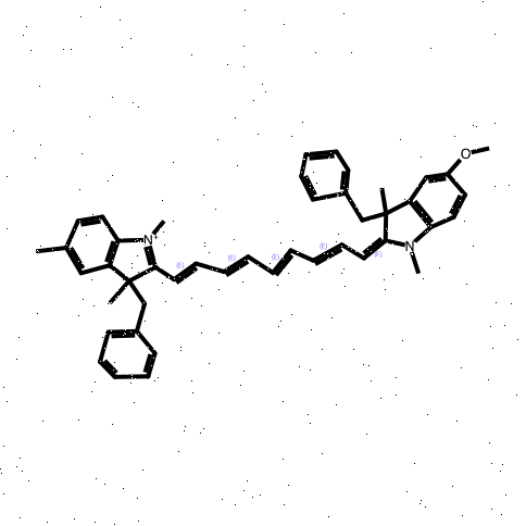 COc1ccc2c(c1)C(C)(Cc1ccccc1)\C(=C/C=C/C=C/C=C/C=C/C1=[N+](C)c3ccc(C)cc3C1(C)Cc1ccccc1)N2C